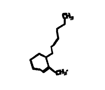 [CH2]C1CCCCC1CCCCCC